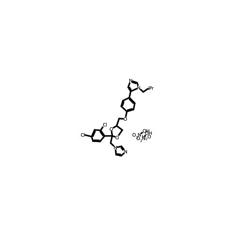 CC(C)Cn1cncc1-c1ccc(OCC2COC(Cn3ccnc3)(c3ccc(Cl)cc3Cl)O2)cc1.O.O=[N+]([O-])O.O=[N+]([O-])O